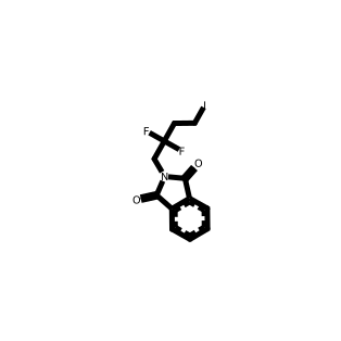 O=C1c2ccccc2C(=O)N1CC(F)(F)CCI